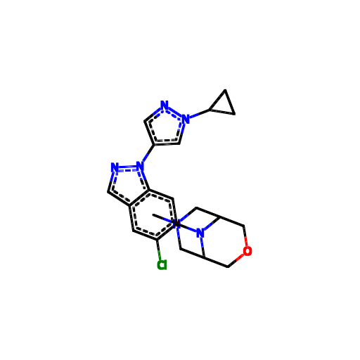 CN1CC2COCC(C1)N2c1cc2c(cnn2-c2cnn(C3CC3)c2)cc1Cl